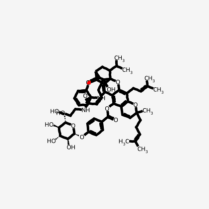 CC(C)=CCCC1(C)C=Cc2c(c(CC=C(C)C)c3c(c2OC(=O)c2ccc(O[C@H]4O[C@@H](CO)[C@H](O)[C@@H](O)[C@@H]4O)cc2)C2=C4C(Sc5ccccc5N2)C2CC(C(C)C)C4(O3)C(O)(C/C=C\C(=O)NCCO)C2=O)O1